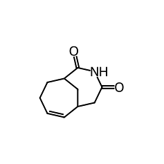 O=C1CC2C=CCCC(C2)C(=O)N1